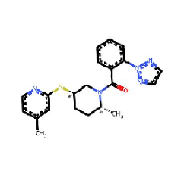 Cc1ccnc(S[C@@H]2CC[C@@H](C)N(C(=O)c3ccccc3-n3nccn3)C2)c1